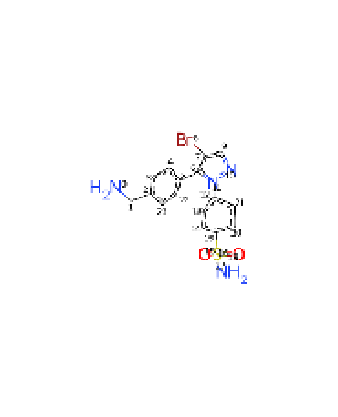 NCc1ccc(-c2c(Br)cnn2-c2ccc(S(N)(=O)=O)cc2)cc1